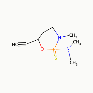 C#CC1CCN(C)P(=S)(N(C)C)O1